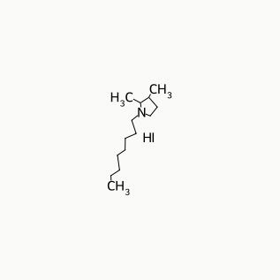 CCCCCCCCN1CCC(C)C1C.I